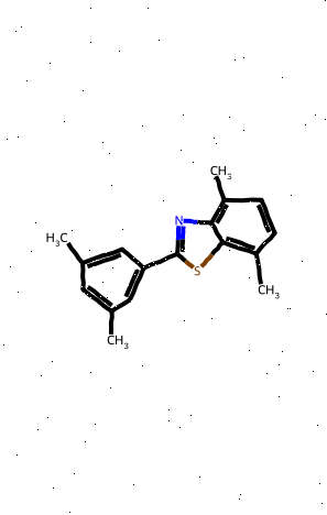 Cc1cc(C)cc(-c2nc3c(C)ccc(C)c3s2)c1